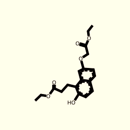 CCOC(=O)CCc1c(O)ccc2ccc(OCC(=O)OCC)cc12